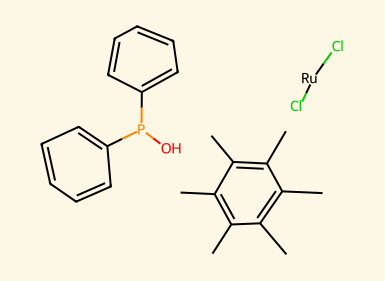 Cc1c(C)c(C)c(C)c(C)c1C.OP(c1ccccc1)c1ccccc1.[Cl][Ru][Cl]